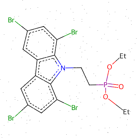 CCOP(=O)(CCn1c2c(Br)cc(Br)cc2c2cc(Br)cc(Br)c21)OCC